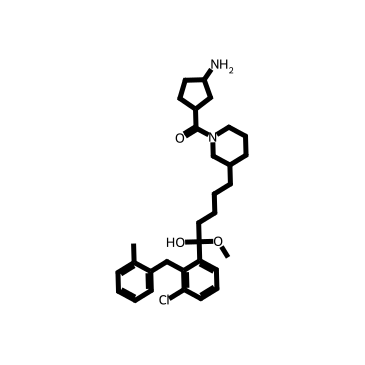 COC(O)(CCCCC1CCCN(C(=O)C2CCC(N)C2)C1)c1cccc(Cl)c1Cc1ccccc1C